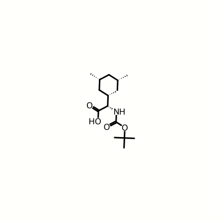 C[C@@H]1C[C@H](C)C[C@H]([C@H](NC(=O)OC(C)(C)C)C(=O)O)C1